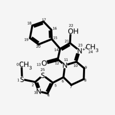 CSc1ncc(C2CCCc3n2c(=O)c(-c2ccccc2)c(O)[n+]3C)s1